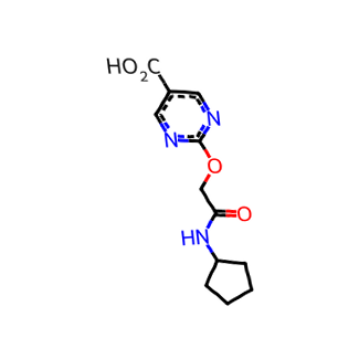 O=C(COc1ncc(C(=O)O)cn1)NC1CCCC1